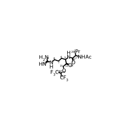 CC(=O)NC(C(=O)NC(CCCNC(=N)N)C(=O)COC(C(F)(F)F)C(F)(F)F)C(C)C